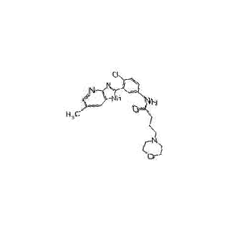 Cc1cnc2nc(-c3cc(NC(=O)CCCN4CCOCC4)ccc3Cl)[nH]c2c1